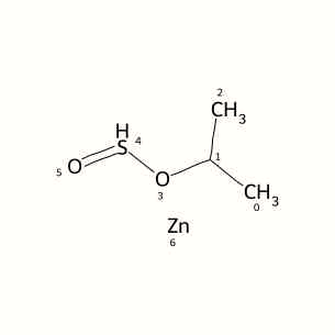 CC(C)O[SH]=O.[Zn]